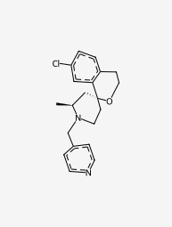 C[C@H]1C[C@@]2(CCN1Cc1ccncc1)OCCc1ccc(Cl)cc12